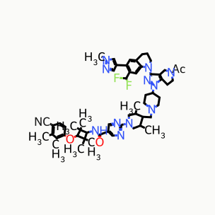 CC(=O)N1CCc2c(c(N3CCCc4cc(-c5cnn(C)c5)c(C(F)F)cc43)nn2C2CCN(CC3C(C)CN(c4ncc(C(=O)NC5C(C)(C)C(Oc6ccc(C#N)c(C)c6C)C5(C)C)cn4)CC3C)CC2)C1